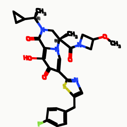 COC1CN(C(=O)[C@@]2(C)CN([C@H](C)C3CC3)C(=O)c3c(O)c(=O)c(-c4ncc(Cc5ccc(F)cc5)s4)cn32)C1